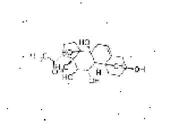 CC(=O)[C@@H]1CC[C@@]2(O)[C@]1(C)[C@H](O)[C@@H](O)[C@@H]1[C@@]3(C)CC[C@H](O)CC3=CC[C@]12O